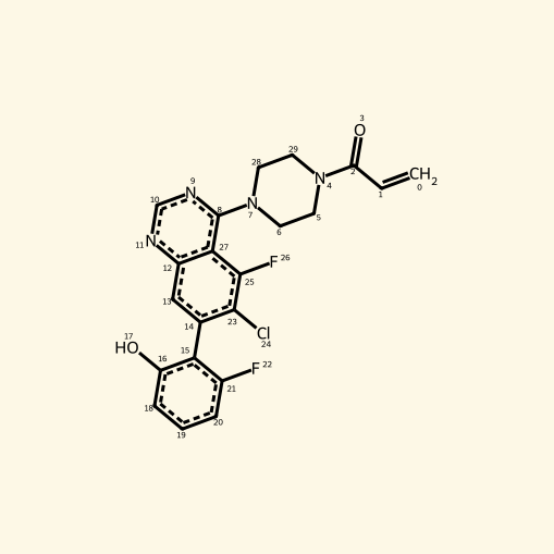 C=CC(=O)N1CCN(c2ncnc3cc(-c4c(O)cccc4F)c(Cl)c(F)c23)CC1